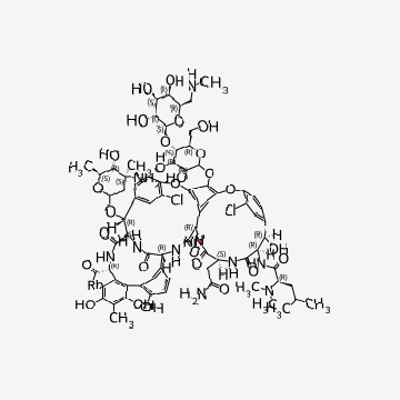 CNC[C@H]1O[C@@H](O[C@H]2[C@H](O)[C@@H](O)C(Oc3c4cc5cc3Oc3ccc(cc3Cl)[C@@H](OC3C[C@](C)(N)[C@@H](O)[C@H](C)O3)[C@@H]3NC(=O)[C@H](NC(=O)[C@@H]5NC(=O)[C@H](CC(N)=O)NC(=O)[C@H](NC(=O)[C@@H](CC(C)C)N(C)C)[C@H](O)c5ccc(c(Cl)c5)O4)c4ccc(O)c(c4)-c4c(cc(O)c(C)c4O)[C@H]([C](=O)[Rb])NC3=O)O[C@@H]2CO)[C@H](O)[C@@H](O)[C@H]1O